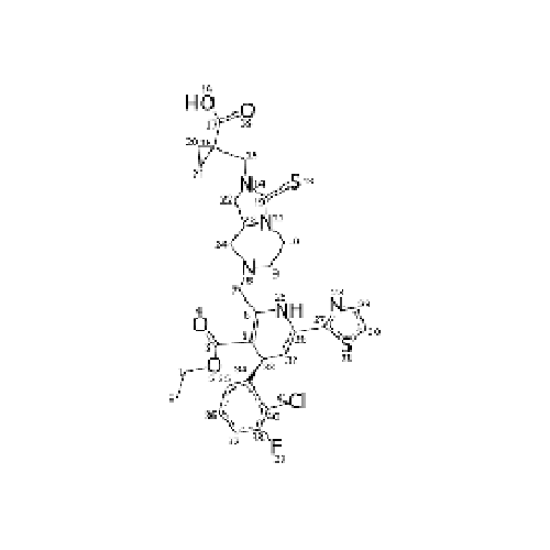 CCOC(=O)C1=C(CN2CCN3C(=S)N(CC4(C(=O)O)CC4)CC3C2)NC(c2nccs2)=C[C@H]1c1cccc(F)c1Cl